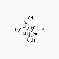 CCC(=O)C1C(C(C)(C)C)C2c3cccnc3NC2N1CC